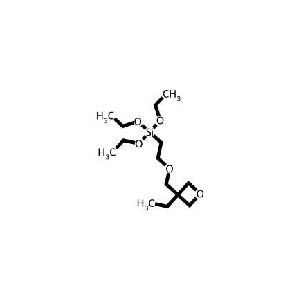 CCO[Si](CCOCC1(CC)COC1)(OCC)OCC